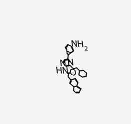 NC1=CC2C(c3cnc(NC(=O)CC4=CC5CC=CC=C5C=C4)c(CCC4CCCCC4)n3)I2C=C1